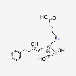 O=C(O)CCC/C=C\C[C@@H]1[C@@H](C=C[C@H](O)CCc2ccccc2)[C@H](O)C[C@@H]1O